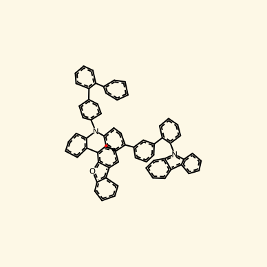 c1ccc(-c2ccccc2-c2ccc(N(c3ccc(-c4cccc(-c5ccccc5-n5c6ccccc6c6ccccc65)c4)cc3)c3ccccc3-c3cccc4c3oc3ccccc34)cc2)cc1